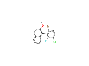 COc1ccc2ccccc2c1-c1c(Br)ccc(Cl)c1F